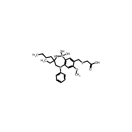 CCCCC1(CC)CN(c2ccccc2)c2cc(OC)c(CSCC(=O)O)cc2S(O)(O)N1